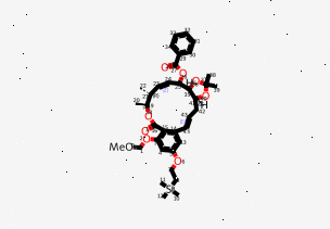 COCOc1cc(OCC[Si](C)(C)C)cc2c1C(=O)O[C@@H](C)[C@H](C)/C=C\C(OC(=O)c1ccccc1)[C@H]1OC(C)(C)O[C@H]1C/C=C/2